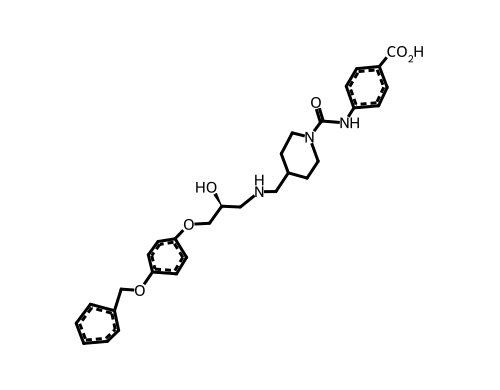 O=C(O)c1ccc(NC(=O)N2CCC(CNC[C@H](O)COc3ccc(OCc4ccccc4)cc3)CC2)cc1